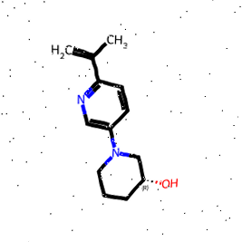 C=C(C)c1ccc(N2CCC[C@@H](O)C2)cn1